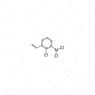 C=Cc1cccc(N(Cl)Cl)c1Cl